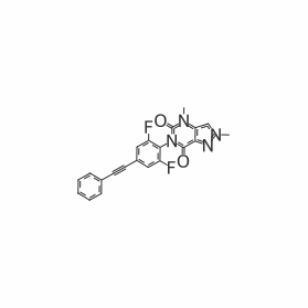 Cn1cc2c(n1)c(=O)n(-c1c(F)cc(C#Cc3ccccc3)cc1F)c(=O)n2C